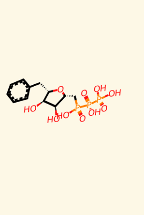 O=P(O)(O)P(=O)(O)P(=O)(O)C[C@H]1O[C@@H](Cc2ccccc2)[C@H](O)[C@@H]1O